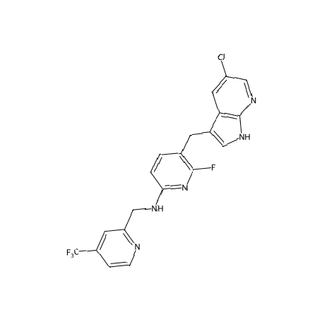 Fc1nc(NCc2cc(C(F)(F)F)ccn2)ccc1Cc1c[nH]c2ncc(Cl)cc12